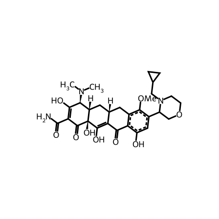 COc1c(C2COCCN2CC2CC2)cc(O)c2c1C[C@H]1C[C@H]3[C@H](N(C)C)C(O)=C(C(N)=O)C(=O)[C@@]3(O)C(O)=C1C2=O